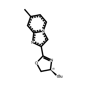 Cc1ccn2cc(C3=N[C@@H](C(C)(C)C)CO3)nc2c1